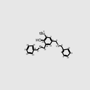 CC(C)(C)c1cc(CSCc2ccccc2)cc(CSCc2ccccc2)c1O